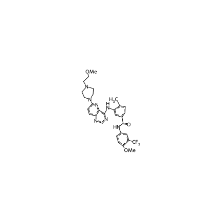 COCCN1CCN(c2ccc3ncnc(Nc4cc(C(=O)Nc5ccc(OC)c(C(F)(F)F)c5)ccc4C)c3n2)CC1